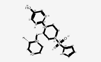 C[C@H]1COCCN1C[C@H]1CN(S(=O)(=O)c2cccs2)CCN1c1ncc(O)cn1